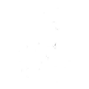 COc1ccccc1N1CC[C@@H](n2c(=O)n(Cc3ccccc3C(F)(F)F)c3c(OC)cccc32)C1